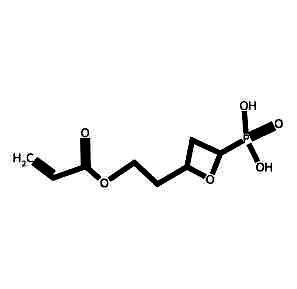 C=CC(=O)OCCC1CC(P(=O)(O)O)O1